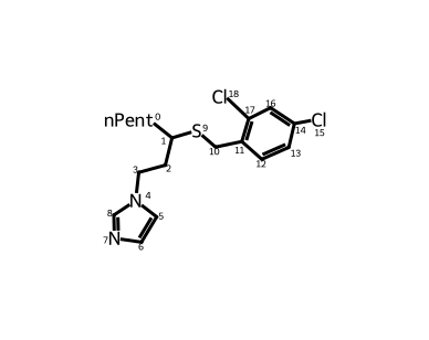 CCCCCC(CCn1ccnc1)SCc1ccc(Cl)cc1Cl